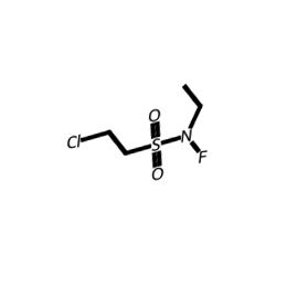 CCN(F)S(=O)(=O)CCCl